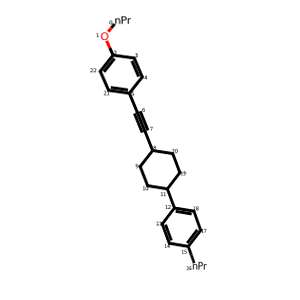 CCCOc1ccc(C#CC2CCC(c3ccc(CCC)cc3)CC2)cc1